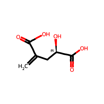 C=C(C[C@@H](O)C(=O)O)C(=O)O